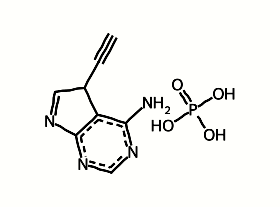 C#CC1C=Nc2ncnc(N)c21.O=P(O)(O)O